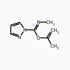 C=C(C)O/C(=N\C)n1cccn1